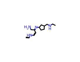 C=CN/C=C\C(CN)=N/C1CCC(CNCC)C1